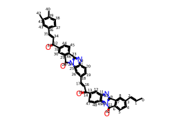 CC=Cc1ccc2c(c1)-c1nc3cc(C(=O)C=Cc4ccc5nc6n(c5c4)C(=O)c4cc(C(=O)C=Cc5ccc(C)c(C)c5)ccc4-6)ccc3n1C2=O